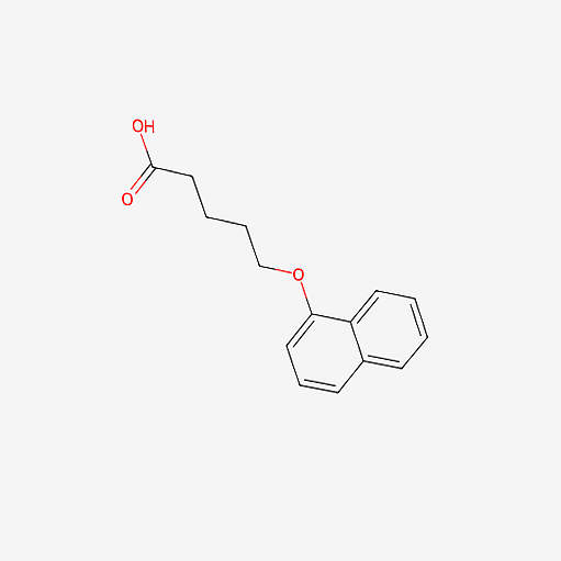 O=C(O)CCCCOc1cccc2ccccc12